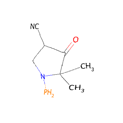 CC1(C)C(=O)C(C#N)CN1P